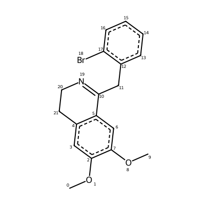 COc1cc2c(cc1OC)C(Cc1ccccc1Br)=NCC2